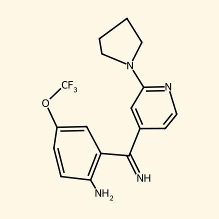 N=C(c1ccnc(N2CCCC2)c1)c1cc(OC(F)(F)F)ccc1N